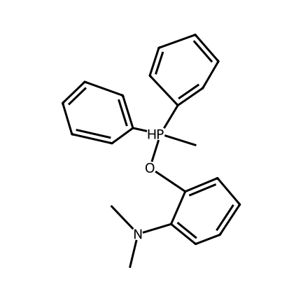 CN(C)c1ccccc1O[PH](C)(c1ccccc1)c1ccccc1